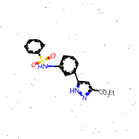 CCOC(=O)c1cc(-c2cccc(NS(=O)(=O)c3ccccc3)c2)[nH]n1